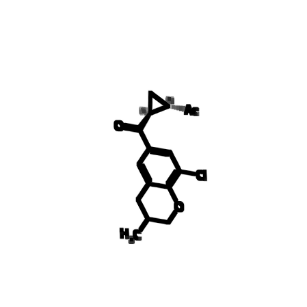 CC(=O)[C@H]1C[C@@H]1C(=O)c1cc(Cl)c2c(c1)CC(C)CO2